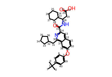 CC(C)(C)c1ccc(Oc2ccc3cc(C(=O)NC(CC(=O)O)C4CCCCC4)nc(CC4CCCC4)c3c2)cc1